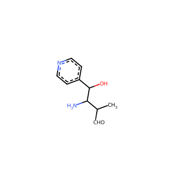 CC(C=O)C(N)C(O)c1ccncc1